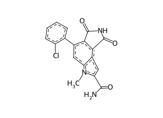 Cn1c(C(N)=O)cc2c3c(c(-c4ccccc4Cl)cc21)C(=O)NC3=O